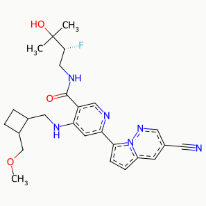 COCC1CCC1CNc1cc(-c2ccc3cc(C#N)cnn23)ncc1C(=O)NC[C@@H](F)C(C)(C)O